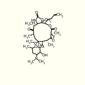 C=CCC[C@H]1OC(=O)[C@@](C)(F)C(=O)[C@H](C)[C@@H](OC2OC(C)CC(N(C)C)C2O)[C@](C)(OC)C[C@@H](C)C(=O)[C@H](C)[C@H]2NC(=O)O[C@@]21C